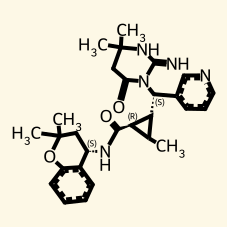 CC1C([C@@H](c2cccnc2)N2C(=N)NC(C)(C)CC2=O)[C@@H]1C(=O)N[C@H]1CC(C)(C)Oc2ccccc21